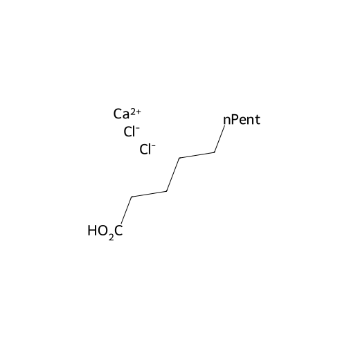 CCCCCCCCCC(=O)O.[Ca+2].[Cl-].[Cl-]